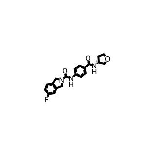 O=C(N[C@@H]1CCOC1)c1ccc(NC(=O)N2Cc3ccc(F)cc3C2)cc1